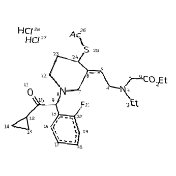 CCOC(=O)CN(CC)CC=C1CN(C(C(=O)C2CC2)c2ccccc2F)CCC1SC(C)=O.Cl.Cl